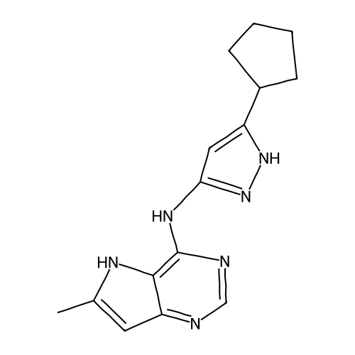 Cc1cc2ncnc(Nc3cc(C4CCCC4)[nH]n3)c2[nH]1